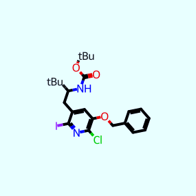 CC(C)(C)OC(=O)NC(Cc1cc(OCc2ccccc2)c(Cl)nc1I)C(C)(C)C